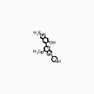 COc1cc(-c2cc3cn(C)nc3cc2O)nc2cn(C3CCNCC3)nc12